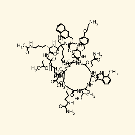 CC(=O)C[C@H](NC(=O)[C@H](CCCCNC(C)=O)NC(=O)[C@](C)(CCCCN)NC(=O)[C@H](Cc1ccc2ccccc2c1)NC(=O)[C@H](Cc1ccc(OCCN)cc1)NC(=O)[C@H]1NC(=O)[C@H](CCC(N)=O)NC(=O)[C@H](Cc2c[nH]c3c(C)cccc23)NC(=O)[C@H]([C@@H](C)O)NC(=O)[C@H](CCCNC(N)=O)NC(=O)[C@@H](NC(C)=O)C(C)(C)SSC1(C)C)C(=O)NCCC(N)=O